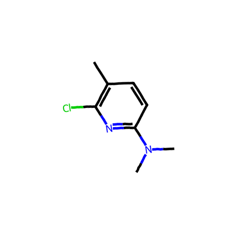 Cc1ccc(N(C)C)nc1Cl